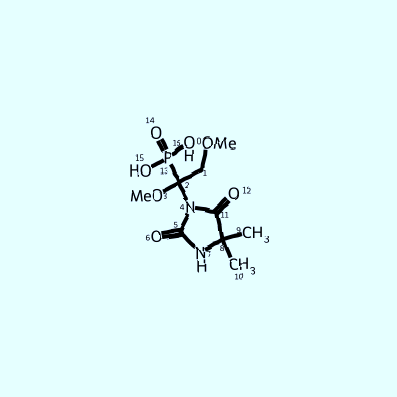 COCC(OC)(N1C(=O)NC(C)(C)C1=O)P(=O)(O)O